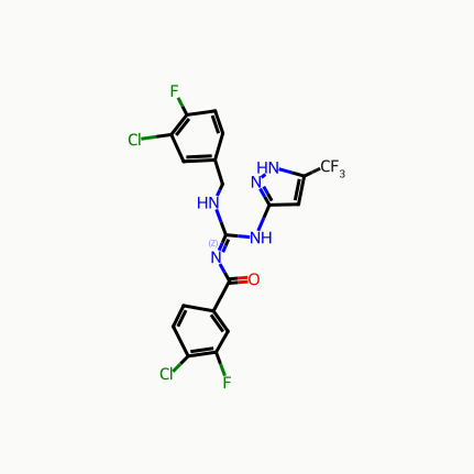 O=C(/N=C(/NCc1ccc(F)c(Cl)c1)Nc1cc(C(F)(F)F)[nH]n1)c1ccc(Cl)c(F)c1